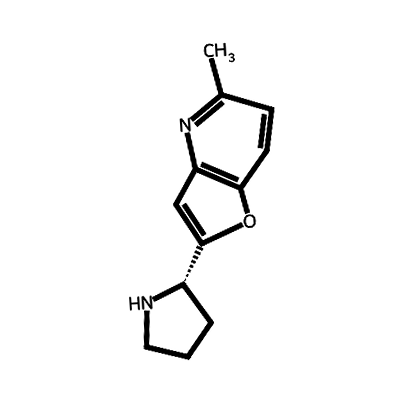 Cc1ccc2oc([C@@H]3CCCN3)cc2n1